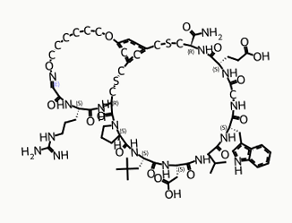 CC(C)C1NC(=O)[C@H](CC(=O)O)NC(=O)[C@H](CC(C)(C)C)NC(=O)[C@@H]2CCCN2C(=O)[C@@H]2CSCc3cc(cc(c3)OCCCCCCO/N=C/C(=O)N[C@@H](CCCNC(=N)N)C(=O)N2)CSC[C@@H](C(N)=O)NC(=O)[C@H](CCC(=O)O)NC(=O)CNC(=O)[C@H](Cc2c[nH]c3ccccc23)NC1=O